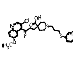 COc1ccc2ncc(Cl)c([C@H](F)CCC3(C(=O)O)CCN(CCCSc4cccnc4)CC3)c2c1